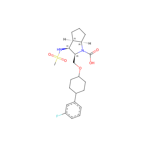 CS(=O)(=O)N[C@H]1[C@H]2CCC[C@H]2N(C(=O)O)[C@H]1COC1CCC(c2cccc(F)c2)CC1